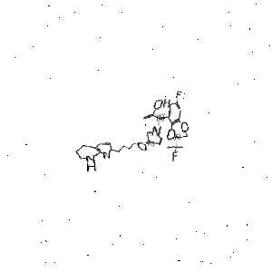 C=C(O)[C@H](c1cc(F)cc2c1O[C@@H](C(C)(C)F)CO2)N1CC[C@@H](OCCCCc2ccc3c(n2)NCCC3)C1